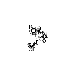 O=C(O)CCCCCC[C@@H]1C(=O)CC[C@H]1C=CC(=O)c1cc(F)ccc1F